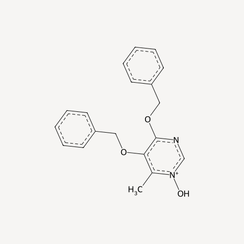 Cc1c(OCc2ccccc2)c(OCc2ccccc2)nc[n+]1O